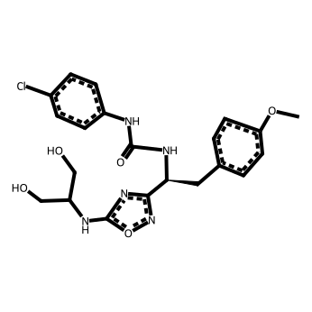 COc1ccc(C[C@H](NC(=O)Nc2ccc(Cl)cc2)c2noc(NC(CO)CO)n2)cc1